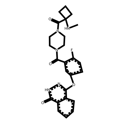 CNC1(C(=O)N2CCN(C(=O)c3cc(Oc4n[nH]c(=O)c5ccccc45)ccc3F)CC2)CCC1